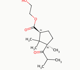 CC(C)C(=O)[C@]1(C)CC[C@H](C(=O)OCCO)C1(C)C